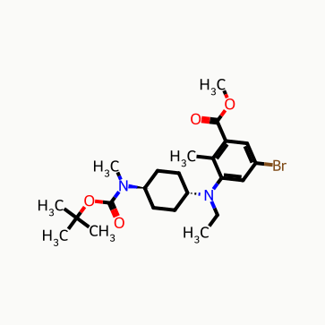 CCN(c1cc(Br)cc(C(=O)OC)c1C)[C@H]1CC[C@H](N(C)C(=O)OC(C)(C)C)CC1